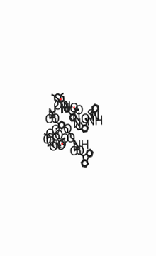 COC(=O)[C@H]1O[C@@H](Oc2cc(OCCOCCNC(=O)OCC3c4ccccc4-c4ccccc43)ccc2COC(=O)N(C)CCOC23CC4(C)CC(C)(CC(Cn5ncc(-c6ccc(N7CCc8cccc(C(=O)Nc9nc%10ccccc%10s9)c8C7)nc6C(=O)O)c5C)(C4)C2)C3)[C@H](OC(C)=O)[C@@H](OC(C)=O)[C@@H]1OC(C)=O